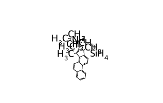 CC1=[C]([Ti]([CH3])([CH3])[NH]C(C)(C)C)C(C)c2ccc3c(ccc4ccccc43)c21.[SiH4]